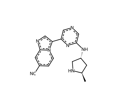 C[C@@H]1C[C@@H](Nc2cncc(-c3cnc4cc(C#N)ccn34)n2)CN1